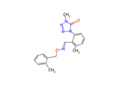 Cc1ccccc1CON=Cc1c(C)cccc1-n1nnn(C)c1=O